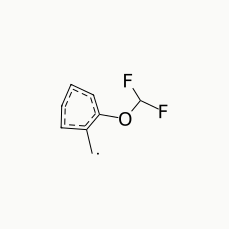 [CH2]c1ccccc1OC(F)F